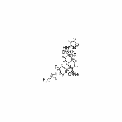 COc1cc([C@H]2C[C@H](C(F)(F)F)C2)c(F)cc1-n1c(=O)ccc2c(F)c(S(=O)(=O)Nc3ccon3)ccc21